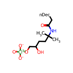 CCCCCCCCCCCC(=O)NC(C)(C)CCC(O)CO[Cl+3]([O-])([O-])[O-]